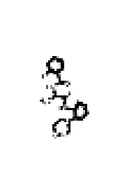 CC(NC(=O)c1ccccc1F)C(=O)Nc1ccccc1N1CCOCC1